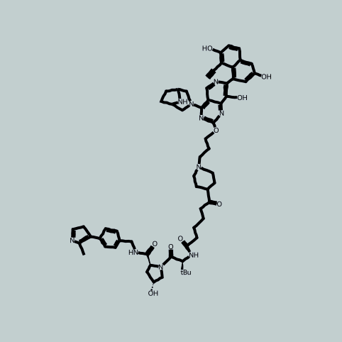 C#Cc1c(O)ccc2cc(O)cc(-c3ncc4c(N5CC6CCC(C5)N6)nc(OCCCN5CCC(C(=O)CCCCC(=O)N[C@H](C(=O)N6C[C@H](O)C[C@H]6C(=O)NCc6ccc(C7=C(C)N=CC7)cc6)C(C)(C)C)CC5)nc4c3O)c12